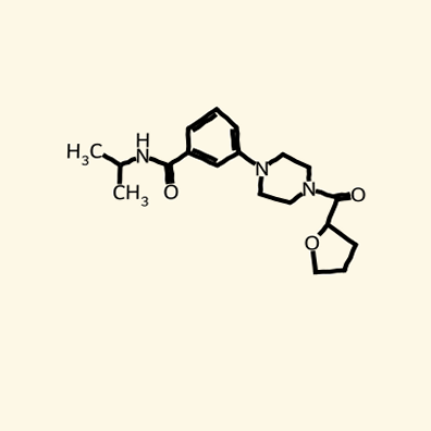 CC(C)NC(=O)c1cccc(N2CCN(C(=O)C3CCCO3)CC2)c1